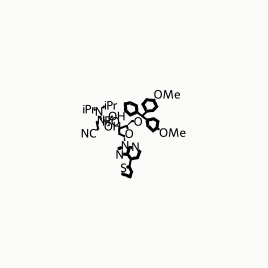 CC(C)N(C(C)C)N(CCC#N)P(O)O.COc1ccc(C(OC[C@H]2O[C@@H](n3cnc4c(-c5cccs5)ccnc43)C[C@@H]2O)(c2ccccc2)c2ccc(OC)cc2)cc1